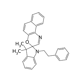 CC1(C)c2ccccc2N(CCc2ccccc2)C12C=Nc1c(ccc3ccccc13)O2